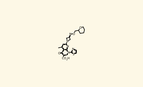 Cc1cc(N2CC(=NOCC3CCCCO3)C2)nc2c1c(=O)c(C(=O)O)cn2-c1nccs1